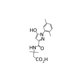 Cc1ccc(C)c(-n2nc(C(=O)NC(C)(C)CC(=O)O)cc2O)c1